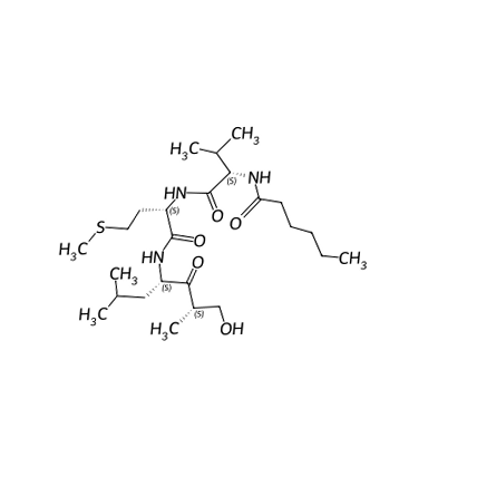 CCCCCC(=O)N[C@H](C(=O)N[C@@H](CCSC)C(=O)N[C@@H](CC(C)C)C(=O)[C@@H](C)CO)C(C)C